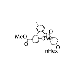 CCCCCCOC1CCC(C(=O)Oc2ccc(C)cc2-c2cc(C(=O)OC)ccc2OC)CC1